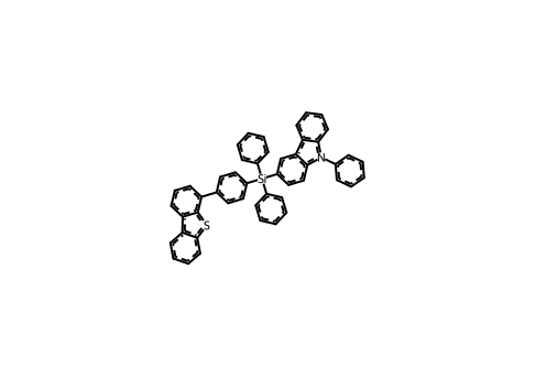 c1ccc(-n2c3ccccc3c3cc([Si](c4ccccc4)(c4ccccc4)c4ccc(-c5cccc6c5sc5ccccc56)cc4)ccc32)cc1